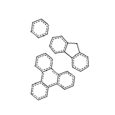 c1ccc2c(c1)Cc1ccccc1-2.c1ccc2c(c1)c1ccccc1c1ccccc21.c1ccccc1